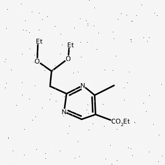 CCOC(=O)c1cnc(CC(OCC)OCC)nc1C